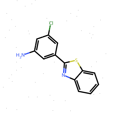 Nc1cc(Cl)cc(-c2nc3ccccc3s2)c1